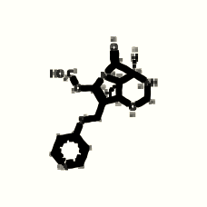 O=C(O)OC1=C(CSc2ccncc2)C2OCN[C@@H]3C(=O)N1[C@H]23